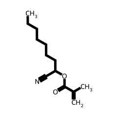 C=C(C)C(=O)OC(C#N)CCCCCCC